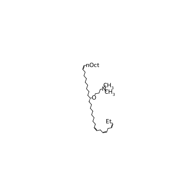 CC/C=C\C/C=C\C/C=C\CCCCCCCC[C@@H](CCCCCCCC/C=C\CCCCCCCC)OCCCN(C)C